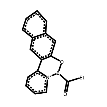 CCC(=O)B1Oc2cc3ccccc3cc2-c2cccc[n+]21